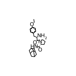 CCOc1ccc(C[C@H](N)C(=O)N2CCC[C@@H]2C(=O)NC2C3CC4CC(C3)CC2C4)cc1